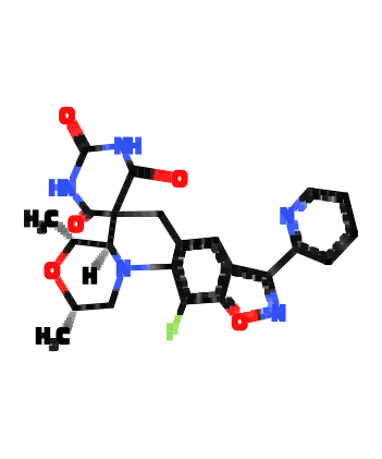 C[C@H]1CN2c3c(cc4c(-c5ccccn5)noc4c3F)CC3(C(=O)NC(=O)NC3=O)[C@@H]2[C@@H](C)O1